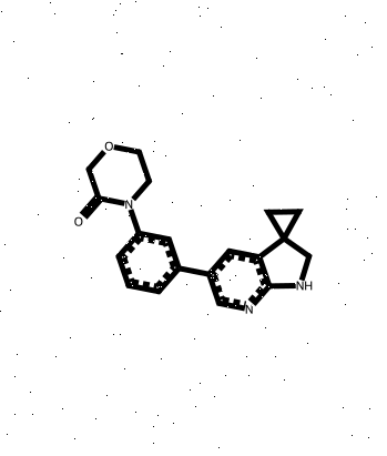 O=C1COCCN1c1cccc(-c2cnc3c(c2)C2(CC2)CN3)c1